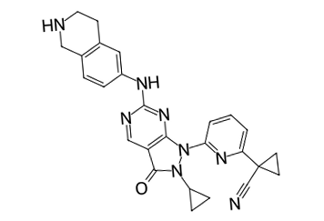 N#CC1(c2cccc(-n3c4nc(Nc5ccc6c(c5)CCNC6)ncc4c(=O)n3C3CC3)n2)CC1